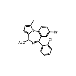 CC(=O)OC1N=C(c2ccccc2Cl)c2cc(Br)ccc2-n2c(C)cnc21